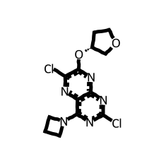 Clc1nc(N2CCC2)c2nc(Cl)c(O[C@@H]3CCOC3)nc2n1